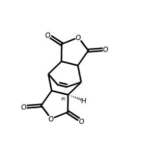 O=C1OC(=O)C2C1C1C=CC2[C@H]2C(=O)OC(=O)C12